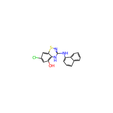 Oc1cc(Cl)cc2c1NC(Nc1cccc3ccccc13)=NS2